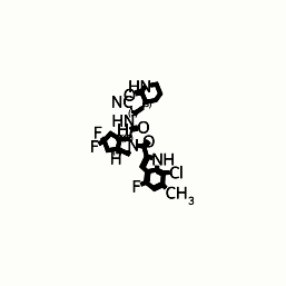 Cc1cc(F)c2cc(C(=O)N3C[C@H]4CC(F)(F)C[C@H]4[C@H]3C(=O)N[C@H](C#N)C[C@@H]3CCCNC3=O)[nH]c2c1Cl